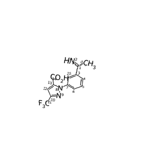 CC(=N)c1cccc(-n2nc(C(F)(F)F)cc2C(=O)O)c1